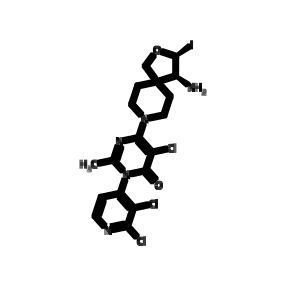 Cc1nc(N2CCC3(CC2)CO[C@@H](I)[C@H]3N)c(Cl)c(=O)n1-c1ccnc(Cl)c1Cl